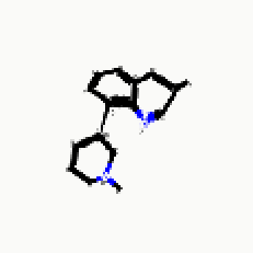 Cc1cnc2c([C@@H]3CCCN(C)C3)cccc2c1